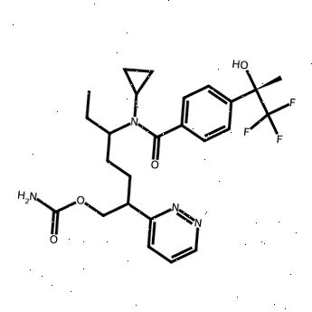 CCC(CCC(COC(N)=O)c1cccnn1)N(C(=O)c1ccc([C@](C)(O)C(F)(F)F)cc1)C1CC1